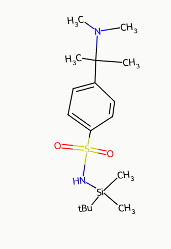 CN(C)C(C)(C)c1ccc(S(=O)(=O)N[Si](C)(C)C(C)(C)C)cc1